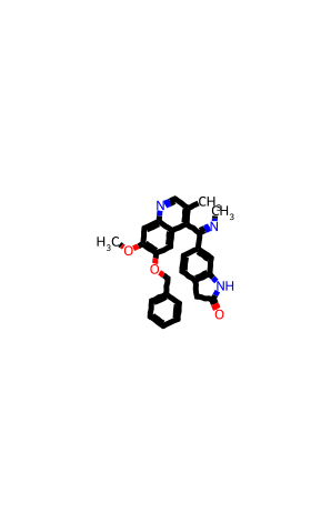 C/N=C(/c1ccc2c(c1)NC(=O)C2)c1c(C)cnc2cc(OC)c(OCc3ccccc3)cc12